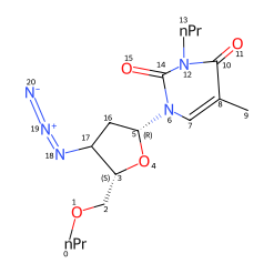 CCCOC[C@H]1O[C@@H](n2cc(C)c(=O)n(CCC)c2=O)CC1N=[N+]=[N-]